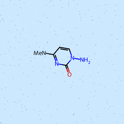 CNc1ccn(N)c(=O)n1